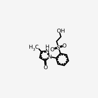 Cc1cc(=O)n(-c2ccccc2S(=O)(=O)CCO)[nH]1